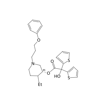 CCC1CCN(CCCOc2ccccc2)C[C@@H]1OC(=O)C(O)(c1cccs1)c1cccs1